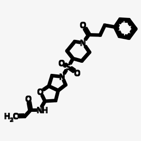 C=CC(=O)NC1CC2CN(S(=O)(=O)C3CCN(C(=O)CCc4ccccc4)CC3)CC2O1